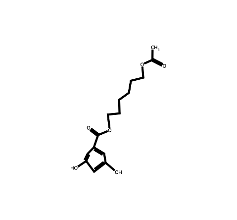 CC(=O)OCCCCCCOC(=O)c1cc(O)cc(O)c1